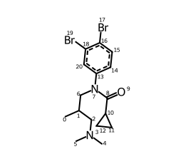 CC(CN(C)C)CN(C(=O)C1CC1)c1ccc(Br)c(Br)c1